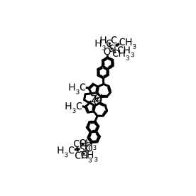 CC1=CC2=C(C=CC=CC2c2ccc3cc(O[Si](C)(C)C(C)(C)C)ccc3c2)[C]12CC[C]1(C(C)=CC3=C1C=CC=CC3c1ccc3cc(O[Si](C)(C)C(C)(C)C)ccc3c1)[Zr]2([Cl])[Cl]